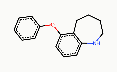 c1ccc(Oc2cccc3c2CCCCN3)cc1